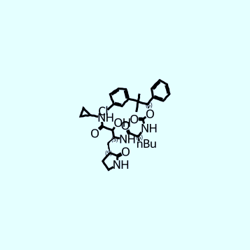 CCCC[C@H](NC(=O)O[C@@H](c1ccccc1)C(C)(C)c1cccc(Cl)c1)C(=O)N[C@@H](C[C@@H]1CCNC1=O)C(O)C(=O)NC1CC1